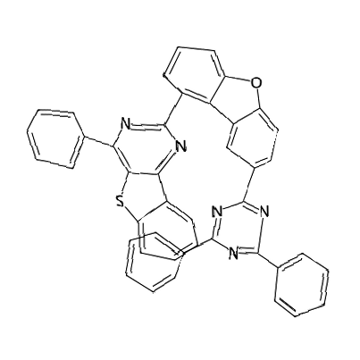 c1ccc(-c2nc(-c3ccccc3)nc(-c3ccc4oc5cccc(-c6nc(-c7ccccc7)c7sc8ccccc8c7n6)c5c4c3)n2)cc1